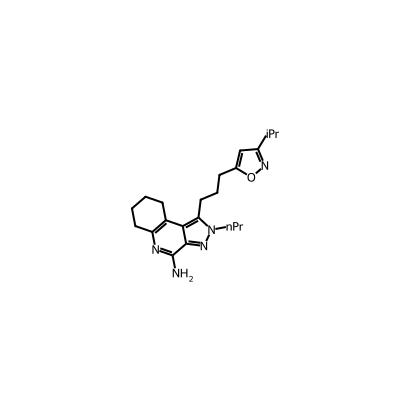 CCCn1nc2c(N)nc3c(c2c1CCCc1cc(C(C)C)no1)CCCC3